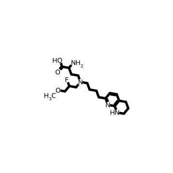 COCC(F)CN(CCCCc1ccc2c(n1)NCCC2)CCC(N)C(=O)O